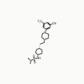 CN(C)S(=O)(=O)N[C@H]1CC[C@H](CCN2CCN(c3cc(C#N)cc(C(F)(F)F)c3)CC2)CC1